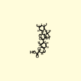 Cc1cc(C)cc(C(=O)N(NC(=O)c2ccc3c(c2C)OC(C(=O)O)CO3)C(C)(C)C)c1